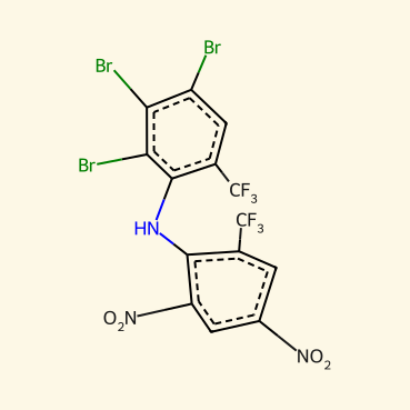 O=[N+]([O-])c1cc([N+](=O)[O-])c(Nc2c(C(F)(F)F)cc(Br)c(Br)c2Br)c(C(F)(F)F)c1